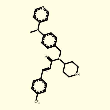 CN(c1ccncc1)c1ccc(CN(C(=O)/C=C/c2ccc(C(F)(F)F)cc2)C2CCNCC2)cc1